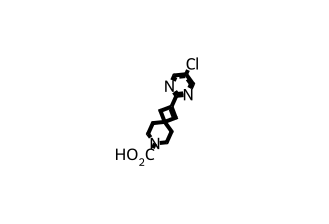 O=C(O)N1CCC2(C=C(c3ncc(Cl)cn3)C2)CC1